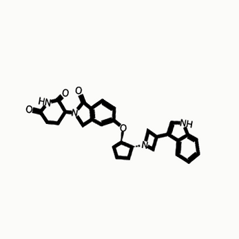 O=C1CCC(N2Cc3cc(O[C@@H]4CCC[C@H]4N4CC(c5c[nH]c6ccccc56)C4)ccc3C2=O)C(=O)N1